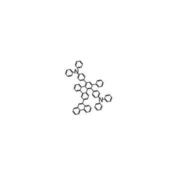 c1ccc(-c2cc(-c3ccc(N(c4ccccc4)c4ccccc4)cc3)c3c4ccccc4c4cc(-c5cc6ccccc6c6ccccc56)ccc4c3c2-c2ccc(N(c3ccccc3)c3ccccc3)cc2)cc1